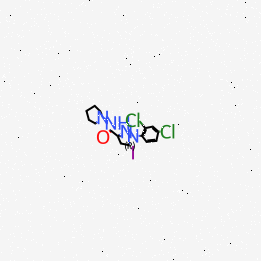 O=C(NN1CCCCC1)C1=NN(c2ccc(Cl)cc2Cl)[C@H](I)C1